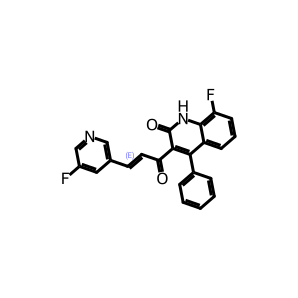 O=C(/C=C/c1cncc(F)c1)c1c(-c2ccccc2)c2cccc(F)c2[nH]c1=O